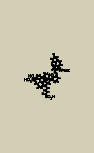 CCCCC[N+]1=C(/C=C/C2=C(Oc3ccc(CCC(=O)O)cc3)C(=C/C=C3/N(CCCC(C)S(=O)(=O)O)c4ccc5cc(S(=O)(=O)O)ccc5c4C3(C)C)/CCC2)C(C)(C)c2c1ccc1cc(C)ccc21